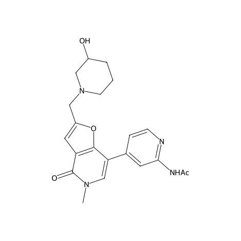 CC(=O)Nc1cc(-c2cn(C)c(=O)c3cc(CN4CCCC(O)C4)oc23)ccn1